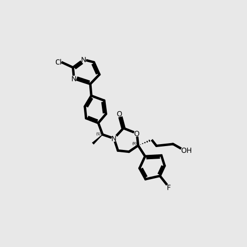 C[C@@H](c1ccc(-c2ccnc(Cl)n2)cc1)N1CC[C@](CCCO)(c2ccc(F)cc2)OC1=O